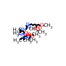 CCOC(=O)CC(CCCc1ncc(CN[C@H](C(=O)N[C@H](C(=O)N[C@@H](C)C(=O)OC)C(C)CC)C(C)C)n1C)C(=O)OCC